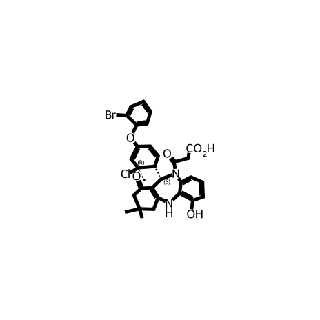 CC1(C)CC(=O)C2=C(C1)Nc1c(O)cccc1N(C(=O)CC(=O)O)[C@H]2C1C=CC(Oc2ccccc2Br)=C[C@]1(C)Cl